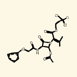 CC(=O)OC1C(NC(=O)COc2ccccc2)C(=O)N1C(C(=O)OCC(Cl)(Cl)Cl)=C(C)C